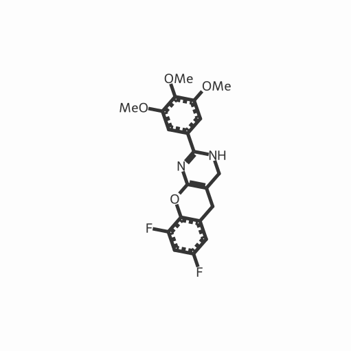 COc1cc(C2=NC3=C(CN2)Cc2cc(F)cc(F)c2O3)cc(OC)c1OC